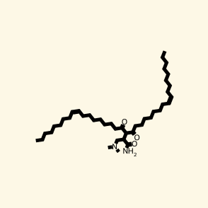 CCCCCCCC/C=C\CCCCCCCC(=O)C(C(=O)CCCCCCC/C=C\CCCCCCCC)C(CN(C)C)C(N)=O